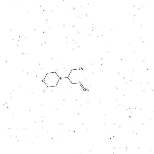 C=CCC(CC#N)N1CCOCC1